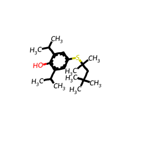 CC(C)c1cc(SC(C)(C)CC(C)(C)C)cc(C(C)C)c1O